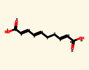 O=C(O)C=CC=CCCC=CC(=O)O